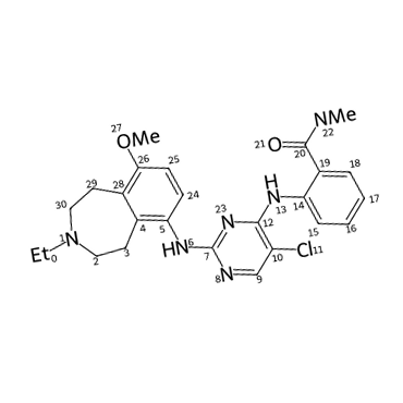 CCN1CCc2c(Nc3ncc(Cl)c(Nc4ccccc4C(=O)NC)n3)ccc(OC)c2CC1